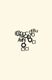 CCOC(=O)c1c(C(C(=O)NC2CCCCC2)N(Cc2ccc(Cl)c(Cl)c2)C(C)=O)c2ccc(Cl)cc2n1C(=O)OC(C)(C)C